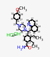 CCc1c(C(N)=O)ccc(C(c2cccc3cccnc23)N2CCN(Cc3ccc(OC)cc3)CC2)c1CC.Cl.Cl